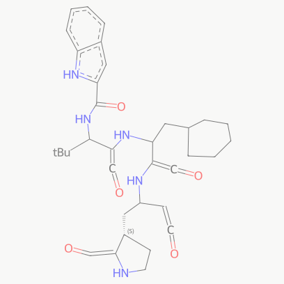 CC(C)(C)C(NC(=O)c1cc2ccccc2[nH]1)C(=C=O)NC(CC1CCCCC1)C(=C=O)NC(C=C=O)C[C@@H]1CCNC1=C=O